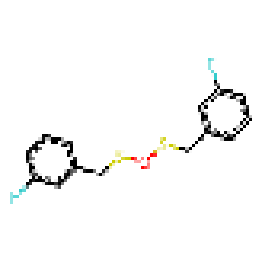 Fc1cccc(CSOSCc2cccc(F)c2)c1